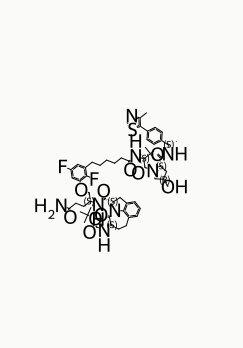 Cc1ncsc1-c1ccc([C@H](C)NC(=O)[C@@H]2C[C@@H](O)CN2C(=O)[C@@H](NC(=O)CCCCCc2cc(F)cc(OC[C@H](CCC(N)=O)NC(=O)[C@@H]3Cc4cccc5c4N3C(=O)[C@@H](NC(=O)OC(C)(C)C)CC5)c2F)C(C)(C)C)cc1